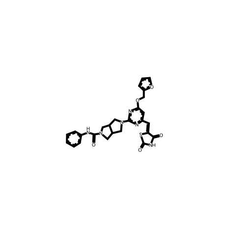 O=C1NC(=O)C(=Cc2cc(OCc3ccco3)nc(N3CC4CN(C(=O)Nc5ccccc5)CC4C3)n2)S1